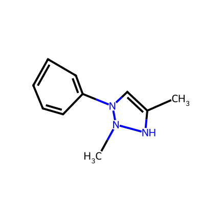 CC1=CN(c2ccccc2)N(C)N1